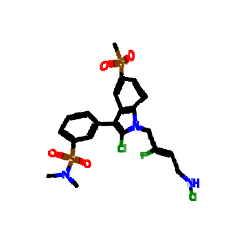 CN(C)S(=O)(=O)c1cccc(-c2c(Cl)n(C/C(F)=C/CNCl)c3ccc(S(C)(=O)=O)cc23)c1